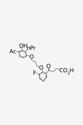 CCCc1c(OCCCOc2c(F)cccc2C(=O)CCC(=O)O)ccc(C(C)=O)c1O